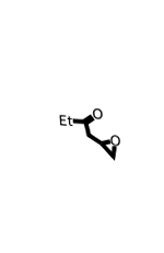 CCC(=O)CC1CO1